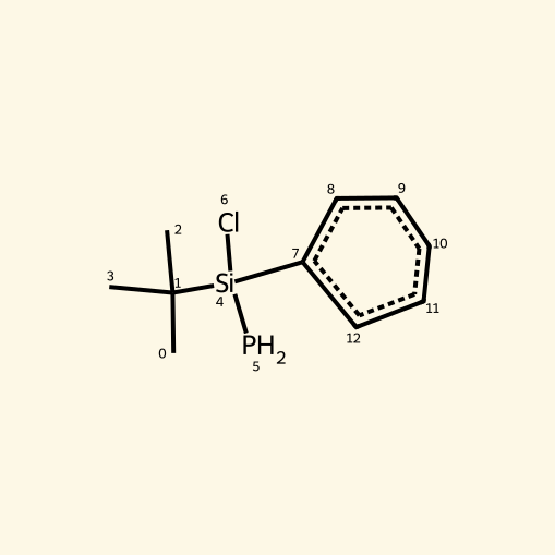 CC(C)(C)[Si](P)(Cl)c1ccccc1